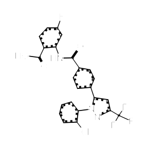 O=C(Nc1cc(F)ccc1C(=O)O)c1ccc(-c2cc(C(F)(F)F)nn2-c2ccccc2Cl)cc1